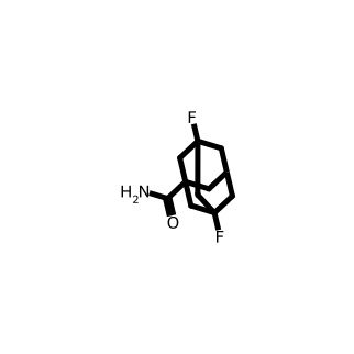 NC(=O)C12CC3CC(F)(CC(F)(C3)C1)C2